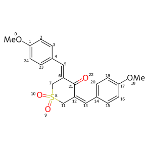 COc1ccc(/C=C2\CS(=O)(=O)C/C(=C/c3ccc(OC)cc3)C2=O)cc1